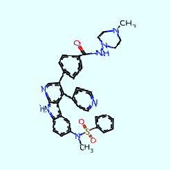 CN1CCN(NC(=O)c2ccc(-c3cnc4[nH]c5ccc(N(C)S(=O)(=O)c6ccccc6)cc5c4c3-c3ccncc3)cc2)CC1